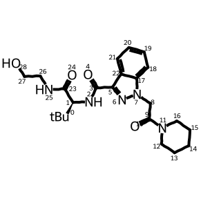 CC(C)(C)[C@H](NC(=O)c1nn(CC(=O)N2CCCCC2)c2ccccc12)C(=O)NCCO